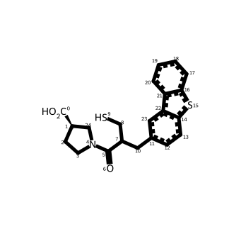 O=C(O)[C@@H]1CCN(C(=O)C(CS)Cc2ccc3sc4ccccc4c3c2)C1